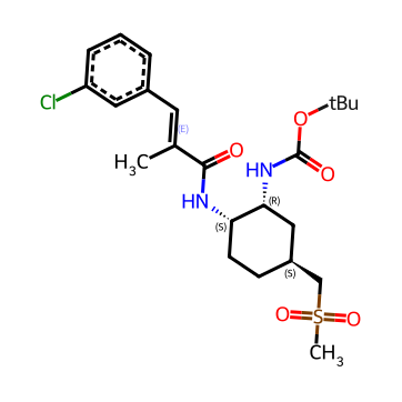 C/C(=C\c1cccc(Cl)c1)C(=O)N[C@H]1CC[C@H](CS(C)(=O)=O)C[C@H]1NC(=O)OC(C)(C)C